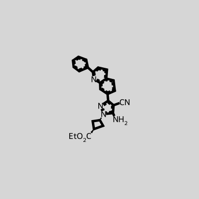 CCOC(=O)[C@H]1C[C@H](n2nc(-c3ccc4ccc(-c5ccccc5)nc4c3)c(C#N)c2N)C1